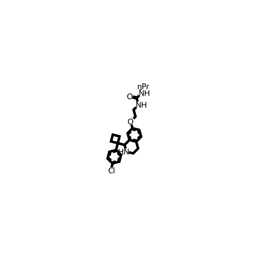 CCCNC(=O)NCCOc1ccc2c(c1)C(C1(c3ccc(Cl)cc3)CCC1)NCC2